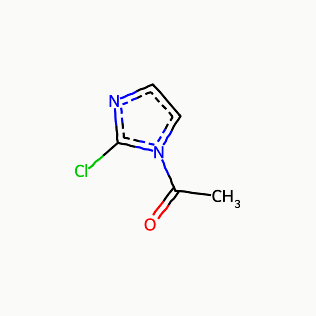 CC(=O)n1ccnc1Cl